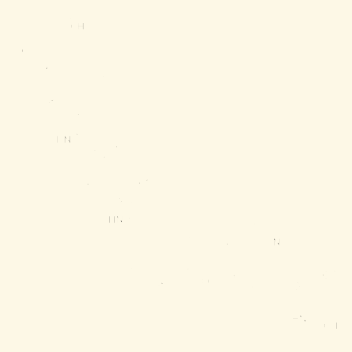 CNC(=O)c1cc(Oc2ccc(NC(=O)CC(=O)Nc3ccc(C)c(C)c3)cc2)ccn1